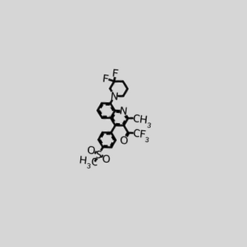 Cc1nc2c(N3CCCC(F)(F)C3)cccc2c(-c2ccc(S(C)(=O)=O)cc2)c1C(=O)C(F)(F)F